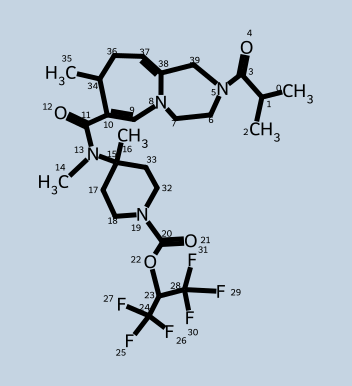 CC(C)C(=O)N1CCN2C=C(C(=O)N(C)C3(C)CCN(C(=O)OC(C(F)(F)F)C(F)(F)F)CC3)C(C)CC=C2C1